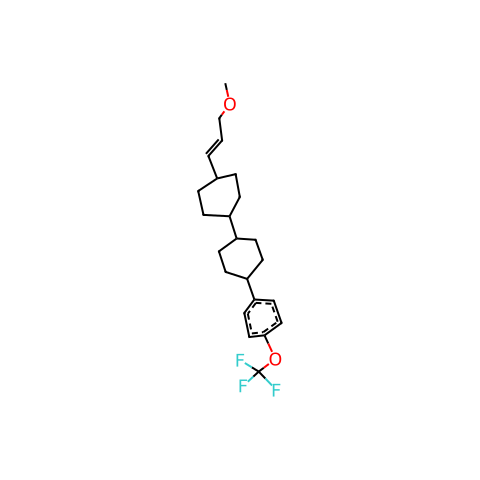 COCC=CC1CCC(C2CCC(c3ccc(OC(F)(F)F)cc3)CC2)CC1